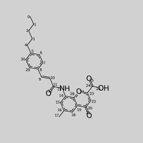 CCCCCc1ccc(C=CC(=O)Nc2cc(C)cc3c(=O)cc(C(=O)O)oc23)cc1